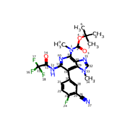 CN(C(=O)OC(C)(C)C)c1nc(NC(=O)C(F)(F)F)c(-c2ccc(F)c(C#N)c2)c2c1ncn2C